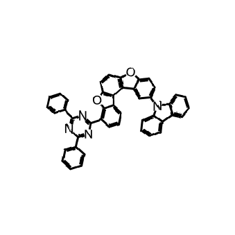 c1ccc(-c2nc(-c3ccccc3)nc(-c3cccc4c3oc3ccc5oc6ccc(-n7c8ccccc8c8ccccc87)cc6c5c34)n2)cc1